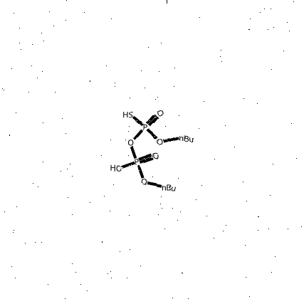 CCCCOP(=O)(O)OP(=O)(S)OCCCC